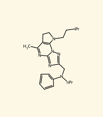 CCCN(Cc1nc2nc(C)c3c(n2n1)N(CCC(C)C)CC3)c1ccccc1